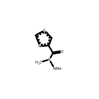 CNN(C)C(=O)c1cscn1